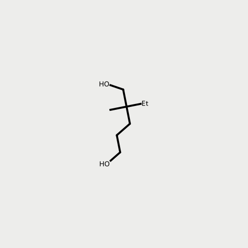 CCC(C)(CO)CCCO